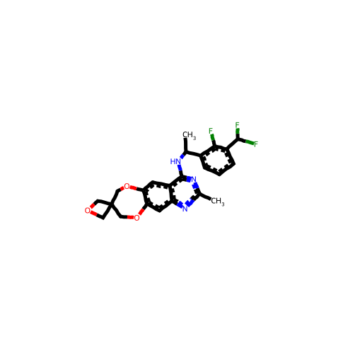 Cc1nc(NC(C)c2cccc(C(F)F)c2F)c2cc3c(cc2n1)OCC1(COC1)CO3